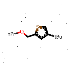 CCCOCc1cc(C(C)(C)C)cs1